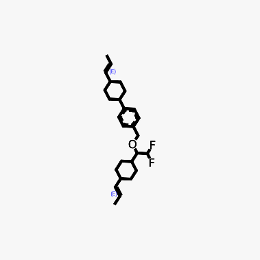 C/C=C/C1CCC(c2ccc(COC(C(F)F)C3CCC(/C=C/C)CC3)cc2)CC1